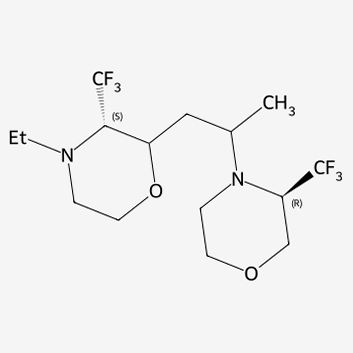 CCN1CCOC(CC(C)N2CCOC[C@@H]2C(F)(F)F)[C@H]1C(F)(F)F